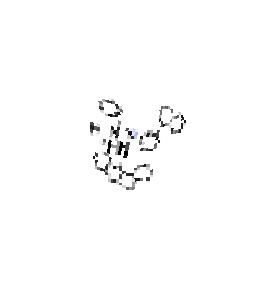 NC(/C=C(\NCc1c2ccccc2cc2ccc3ccccc3c12)c1cccc(-c2cccc3ccccc23)c1)c1ccccc1